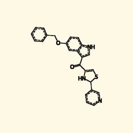 O=C(C1=CSC(c2cccnc2)N1)c1c[nH]c2ccc(OCc3ccccc3)cc12